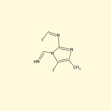 Cc1nc(/N=C\I)n(C=N)c1I